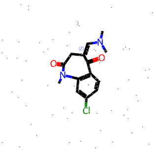 CN(C)/C=C1/CC(=O)N(C)c2cc(Cl)ccc2C1=O